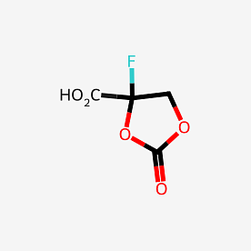 O=C1OCC(F)(C(=O)O)O1